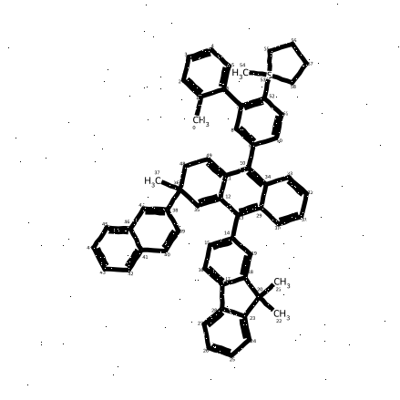 Cc1ccccc1-c1cc(-c2c3c(c(-c4ccc5c(c4)C(C)(C)c4ccccc4-5)c4ccccc24)=CC(C)(c2ccc4ccccc4c2)CC=3)ccc1S1(C)CCCC1